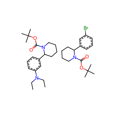 CC(C)(C)OC(=O)N1CCCCC1c1cccc(Br)c1.CCN(CC)c1cccc(C2CCCCN2C(=O)OC(C)(C)C)c1